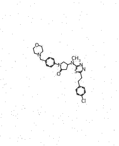 CN(c1nnc(CCc2ccc(Cl)cc2)s1)C1CC(=O)N(c2ccc(CN3CCOCC3)cc2)C1